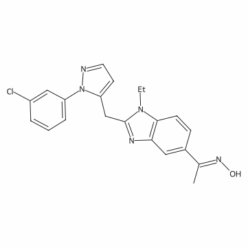 CCn1c(Cc2ccnn2-c2cccc(Cl)c2)nc2cc(C(C)=NO)ccc21